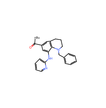 CCCCC(=O)c1cc2c(c(Nc3ccccn3)c1)N(Cc1ccccc1)CCC2